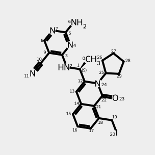 C[C@H](Nc1nc(N)ncc1C#N)c1cc2cccc(CI)c2c(=O)n1C1CCCC1